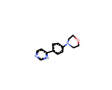 [c]1nccc(-c2ccc(N3CCOCC3)cc2)n1